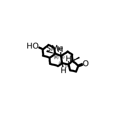 CSC[C@]12CCC(O)CC1CC[C@@H]1[C@H]2CC[C@]2(C)C(=O)CC[C@@H]12